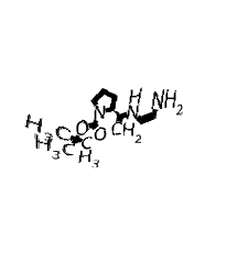 C=C(N/C=C\N)[C@@H]1CCCN1C(=O)OC(C)(C)C